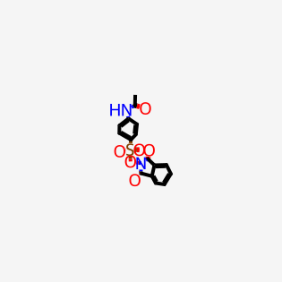 CC(=O)Nc1ccc(S(=O)(=O)ON2C(=O)c3ccccc3C2=O)cc1